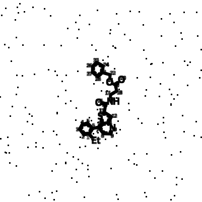 CCc1ccccc1-c1ccnc2cc(C(=O)NCCC(=O)OCc3ccccc3)sc12